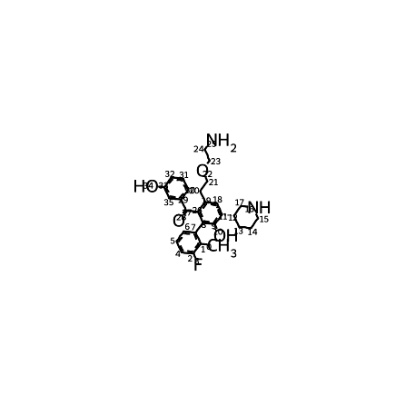 Cc1c(F)cccc1-c1c(O)c([C@H]2CCCNC2)[c]c(CCOCCN)c1C(=O)c1cccc(O)c1